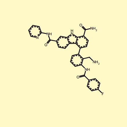 NCc1c(NC(=O)c2ccc(F)cc2)cccc1-c1ccc(C(N)=O)c2[nH]c3cc(C(=O)Nc4ccccn4)ccc3c12